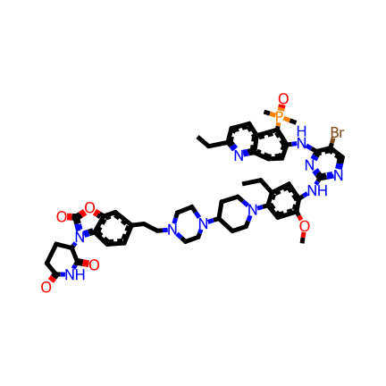 CCc1ccc2c(P(C)(C)=O)c(Nc3nc(Nc4cc(CC)c(N5CCC(N6CCN(CCc7ccc8c(c7)oc(=O)n8C7CCC(=O)NC7=O)CC6)CC5)cc4OC)ncc3Br)ccc2n1